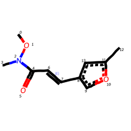 CON(C)C(=O)/C=C/c1coc(C)c1